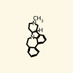 CN1CCC2[C@H](C1)c1cccc3c1N2CCc1ccccc1-3